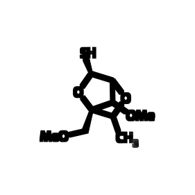 COC[C@]12O[C@@H](S)C(OC1C)C2OC